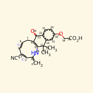 C=C1/C=C(C#N)\C=C/CC2=C(N1)C(C)(C)c1cc(OCC(=O)O)ccc1C2=O